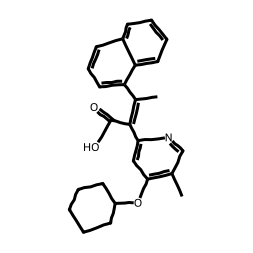 CC(=C(C(=O)O)c1cc(OC2CCCCC2)c(C)cn1)c1cccc2ccccc12